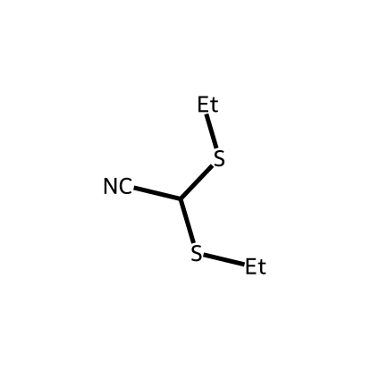 CCSC(C#N)SCC